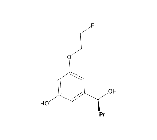 CC(C)[C@H](O)c1cc(O)cc(OCCF)c1